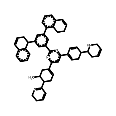 CC1CC(c2cc(C3=CCC(C4CC=CCN4)C=C3)nc(-c3cc(-c4cccc5c4CCC=C5)cc(C4CC=Cc5ccccc54)c3)n2)=CCC1C1=NCCC=C1